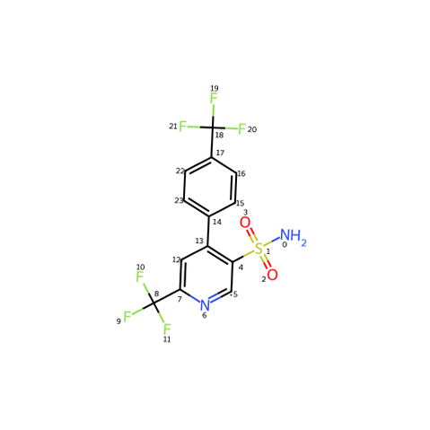 NS(=O)(=O)c1[c]nc(C(F)(F)F)cc1-c1ccc(C(F)(F)F)cc1